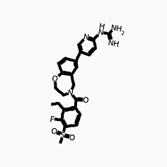 CCc1c(C(=O)N2CCOc3ccc(-c4ccc(NC(=N)N)nc4)cc3C2)ccc(S(C)(=O)=O)c1F